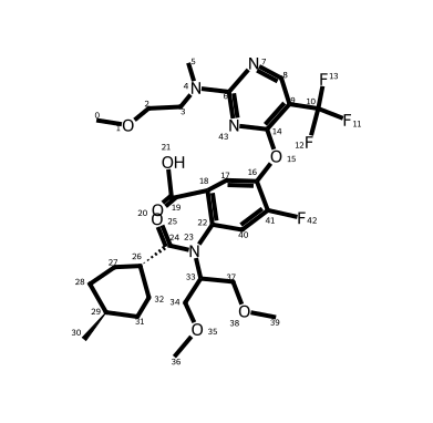 COCCN(C)c1ncc(C(F)(F)F)c(Oc2cc(C(=O)O)c(N(C(=O)[C@H]3CC[C@H](C)CC3)C(COC)COC)cc2F)n1